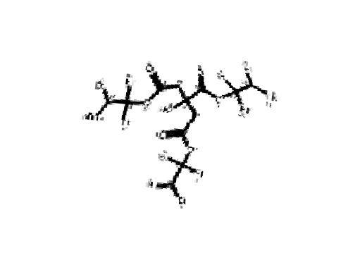 CCCCC(CC)C(CC)(CC)OC(=O)CC(O)(CC(=O)OC(CC)(CC)C(CC)CCCC)C(=O)OC(CC)(CC)C(CC)CCCC